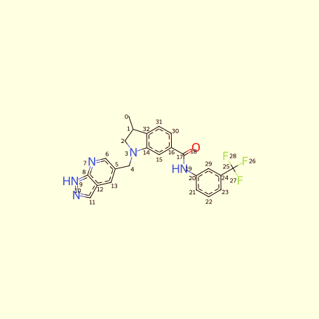 CC1CN(Cc2cnc3[nH]ncc3c2)c2cc(C(=O)Nc3cccc(C(F)(F)F)c3)ccc21